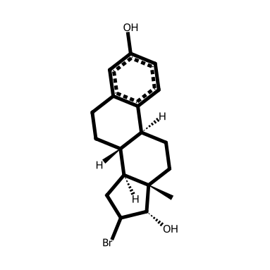 C[C@]12CC[C@@H]3c4ccc(O)cc4CC[C@H]3[C@@H]1CC(Br)[C@H]2O